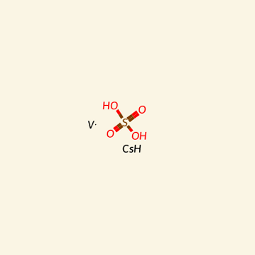 O=S(=O)(O)O.[CsH].[V]